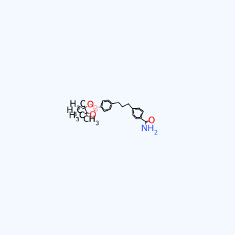 CC1(C)OB(c2ccc(CCCc3ccc(C(N)=O)cc3)cc2)OC1(C)C